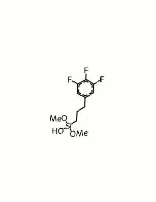 CO[Si](O)(CCCc1cc(F)c(F)c(F)c1)OC